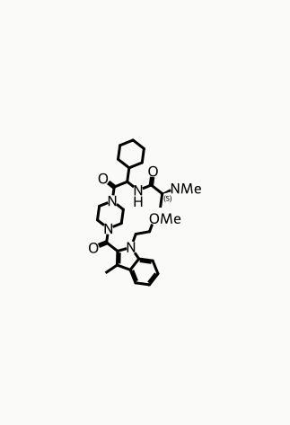 CN[C@@H](C)C(=O)NC(C(=O)N1CCN(C(=O)c2c(C)c3ccccc3n2CCOC)CC1)C1CCCCC1